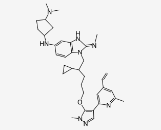 C=Cc1cc(C)nc(-c2cnn(C)c2OCCCC(Cn2/c(=N/C)[nH]c3cc(NC4CCC(N(C)C)C4)ccc32)C2CC2)c1